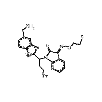 CC(C)CCC(c1nc2cc(CN)ccc2[nH]1)N1C(=O)C(=NOCCF)c2cccnc21